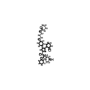 O=C(NC(=O)C1(c2ccccc2)CCNCC1)c1cc(-c2ccc(OCCCOC3CCCCO3)cc2)c(-c2ccccc2Cl)s1